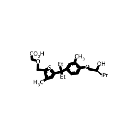 CCC(CC)(c1ccc(OC[C@@H](O)C(C)C)c(C)c1)c1cc(C)c(COCC(=O)O)s1